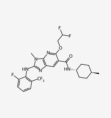 Cn1c(Nc2c(F)cccc2C(F)(F)F)nc2cc(C(=O)N[C@H]3CC[C@H](C)CC3)c(OCC(F)F)nc21